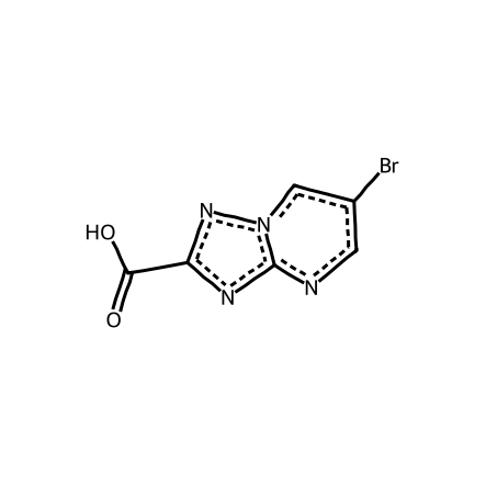 O=C(O)c1nc2ncc(Br)cn2n1